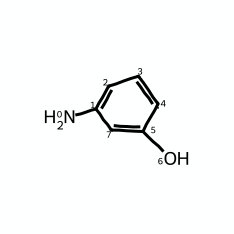 Nc1cc[c]c(O)c1